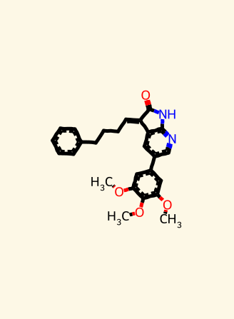 COc1cc(-c2cnc3c(c2)/C(=C\CCCc2ccccc2)C(=O)N3)cc(OC)c1OC